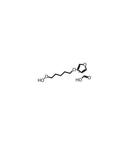 CCCCCCOO.O=CO.c1ccoc1